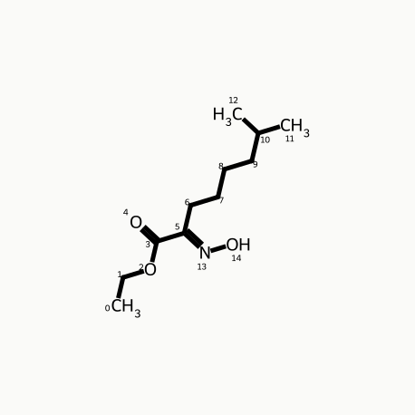 CCOC(=O)C(CCCCC(C)C)=NO